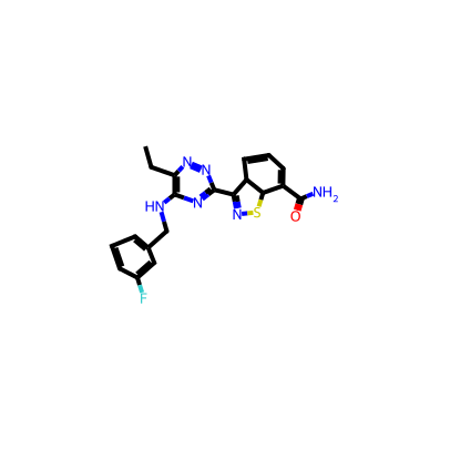 CCc1nnc(C2=NSC3C(C(N)=O)=CC=CC23)nc1NCc1cccc(F)c1